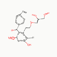 CCc1c(O)cc(O)c(C(=O)c2ccc(OC)cc2)c1CCOCC(O)CO